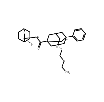 CCOCC[C@@]12CC3CC(C(=O)N[C@@H]4CN5CCC4CC5)(C1)C[C@](c1ccccc1)(C3)C2